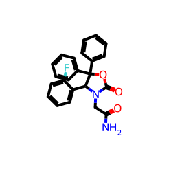 NC(=O)CN1C(=O)OC(c2ccccc2)(c2ccccc2)C1c1ccccc1F